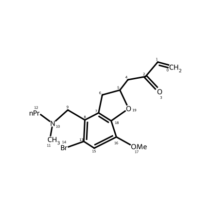 C=CC(=O)CC1Cc2c(CN(C)CCC)c(Br)cc(OC)c2O1